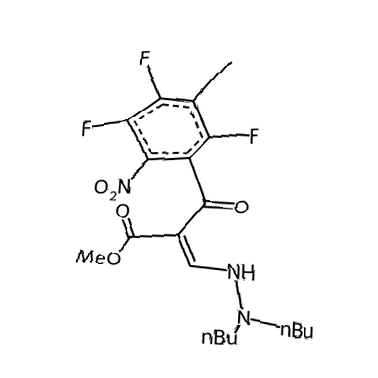 CCCCN(CCCC)N/C=C(/C(=O)OC)C(=O)c1c(F)c(C)c(F)c(F)c1[N+](=O)[O-]